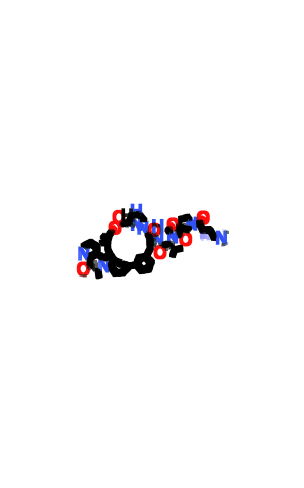 CCn1c(-c2cccnc2[C@H](C)OC)c2c3cc(ccc31)-c1cccc(c1)C[C@H](NC(=O)[C@H](C(C)C)N1CO[C@@]3(CCN(C(=O)/C=C/CN(C)C)C3)C1=O)C(=O)N1CCC[C@H](N1)C(=O)OCC(C)(C)C2